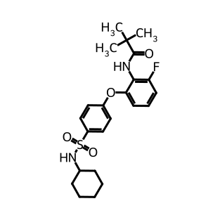 CC(C)(C)C(=O)Nc1c(F)cccc1Oc1ccc(S(=O)(=O)NC2CCCCC2)cc1